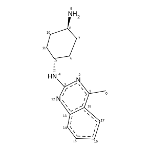 Cc1nc(N[C@H]2CC[C@H](N)CC2)nc2ccccc12